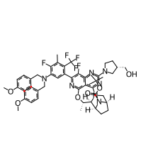 COc1ccc(CN(Cc2ccc(OC)cc2)c2cc(-c3nc4c5c(nc(N6CC[C@H](CO)C6)nc5c3F)N3C[C@H]5CC[C@@H]([C@H]3[C@H](C)O4)N5C(=O)OC(C)(C)C)c(C(F)(F)F)c(C)c2F)cc1